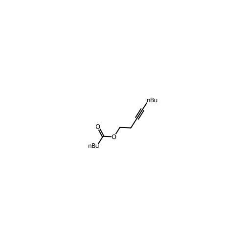 CCCCC#CCCOC(=O)CCCC